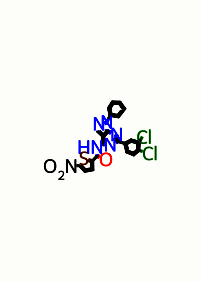 O=C(Nc1nc(-c2ccc(Cl)c(Cl)c2)nc2c1cnn2-c1ccccc1)c1ccc([N+](=O)[O-])s1